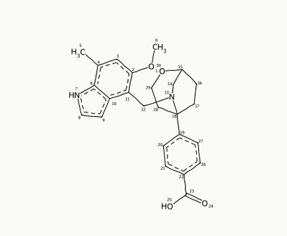 COc1cc(C)c2[nH]ccc2c1CN1CC2CCC1(c1ccc(C(=O)O)cc1)CCO2